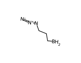 BCCCN=[N+]=[N-]